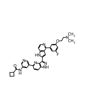 CN(C)CCOc1cc(F)cc(-c2nccc3[nH]c(-c4n[nH]c5ccc(-c6cncc(NC(=O)C7CCC7)c6)nc45)cc23)c1